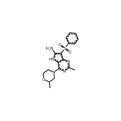 Cc1nc(N2CCOC(C)C2)c2[nH]c(N)c(S(=O)(=O)c3ccccc3)c2n1